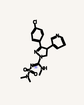 CN/C(=N\S(=O)(=O)N(C)C)N1CC(c2cccnc2)C(c2ccc(Cl)cc2)=N1